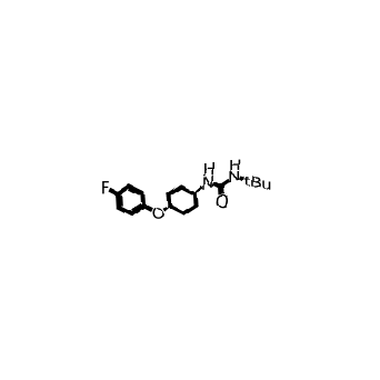 CC(C)(C)NC(=O)N[C@H]1CC[C@@H](Oc2ccc(F)cc2)CC1